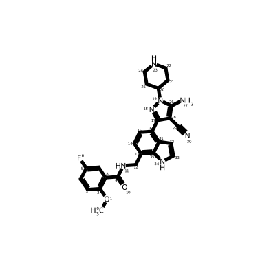 COc1ccc(F)cc1C(=O)NCc1ccc(-c2nn(C3CCNCC3)c(N)c2C#N)c2cc[nH]c12